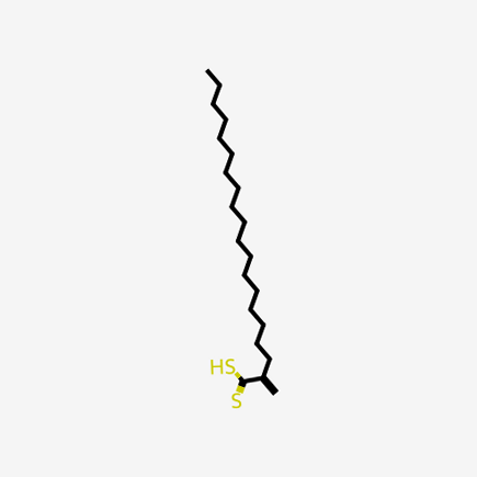 C=C(CCCCCCCCCCCCCCCCCC)C(=S)S